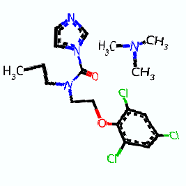 CCCN(CCOc1c(Cl)cc(Cl)cc1Cl)C(=O)n1ccnc1.CN(C)C